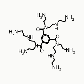 NCCNCCN(CCN)C(=O)c1cc(C(=O)N(CCN)CCNCCN)cc(C(=O)N(CCN)CCNCCN)c1